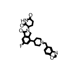 O=C1CCC(N2Cc3c(cc(F)cc3C3CCN(Cc4ccc5ocnc5c4)CC3)C2=O)C(=O)N1